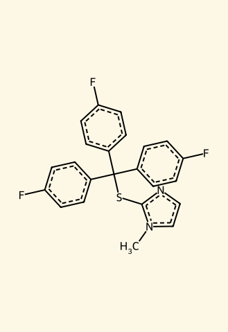 Cn1ccnc1SC(c1ccc(F)cc1)(c1ccc(F)cc1)c1ccc(F)cc1